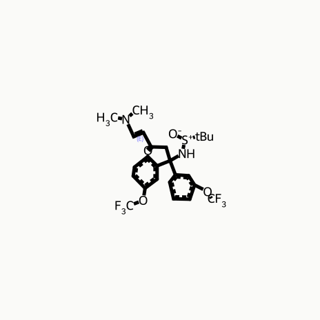 CN(C)/C=C/C(=O)CC(N[S+]([O-])C(C)(C)C)(c1cccc(OC(F)(F)F)c1)c1cccc(OC(F)(F)F)c1